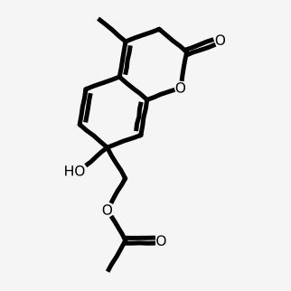 CC(=O)OCC1(O)C=CC2=C(C)CC(=O)OC2=C1